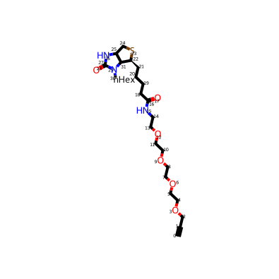 C#CCOCCOCCOCCOCCNC(=O)CCCC[C@@H]1SCC2NC(=O)N(CCCCCC)C21